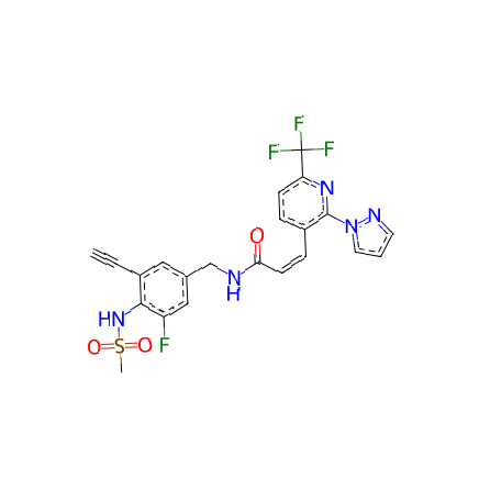 C#Cc1cc(CNC(=O)/C=C\c2ccc(C(F)(F)F)nc2-n2cccn2)cc(F)c1NS(C)(=O)=O